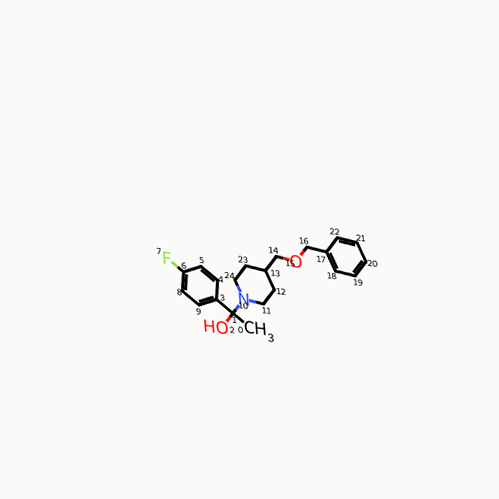 CC(O)(c1ccc(F)cc1)N1CCC(COCc2ccccc2)CC1